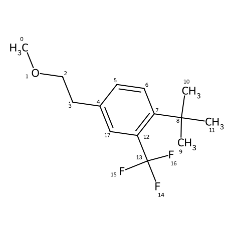 COC[CH]c1ccc(C(C)(C)C)c(C(F)(F)F)c1